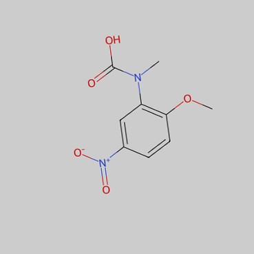 COc1ccc([N+](=O)[O-])cc1N(C)C(=O)O